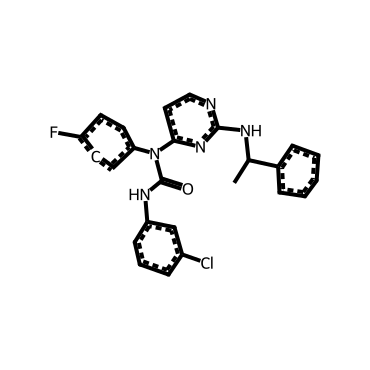 CC(Nc1nccc(N(C(=O)Nc2cccc(Cl)c2)c2ccc(F)cc2)n1)c1ccccc1